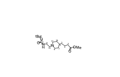 COC(=O)CCCC1CCN(CCNC(=O)OC(C)(C)C)CC1